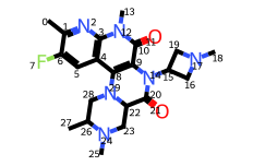 Cc1nc2c(cc1F)c1c(c(=O)n2C)N(C2CN(C)C2)C(=O)C2CN(C)C(C)CN12